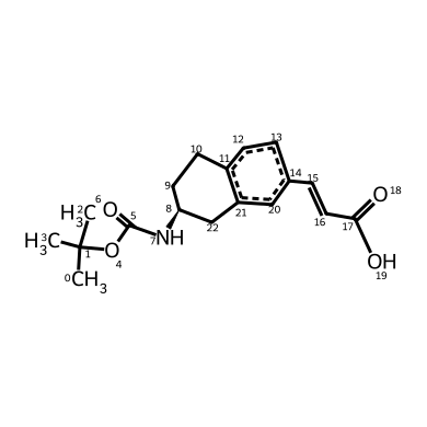 CC(C)(C)OC(=O)N[C@H]1CCc2ccc(C=CC(=O)O)cc2C1